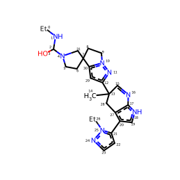 CCNC(O)N1CCC2(CCn3nc(C4(C)C=Nc5[nH]cc(-c6ccnn6CC)c5C4)cc32)C1